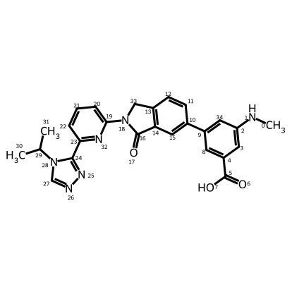 CNc1cc(C(=O)O)cc(-c2ccc3c(c2)C(=O)N(c2cccc(-c4nncn4C(C)C)n2)C3)c1